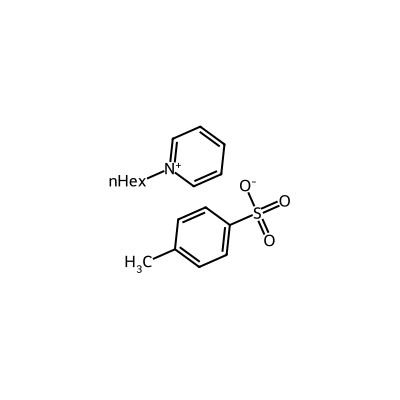 CCCCCC[n+]1ccccc1.Cc1ccc(S(=O)(=O)[O-])cc1